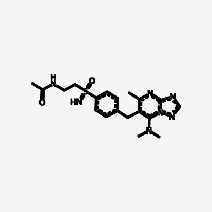 CC(=O)NCCS(=N)(=O)c1ccc(Cc2c(C)nc3ncnn3c2N(C)C)cc1